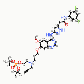 C#CCN(CCCOc1cc2ncnc(Nc3cc(CC(=O)Nc4cc(F)cc(F)c4)[nH]n3)c2cc1OC)CCOP(=O)(OC(C)(C)C)OC(C)(C)C